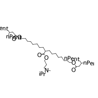 CCCCCC(CCCCC)CC(=O)OCCCCCCCCC(CCCCCCCCOC(=O)CC(CCCCC)CCCCC)C(=O)OCCCN(C)C(C)C